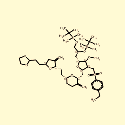 C=C1C[C@H](CCC2OCCO2)O[C@H]1CC[C@H]1CCC(=C)[C@@H](C[C@@H]2O[C@H](C[C@@H](CO[Si](C)(C)C(C)(C)C)O[Si](C)(C)C(C)(C)C)[C@@H](OC)[C@H]2CS(=O)(=O)c2ccc(CC)cc2)O1